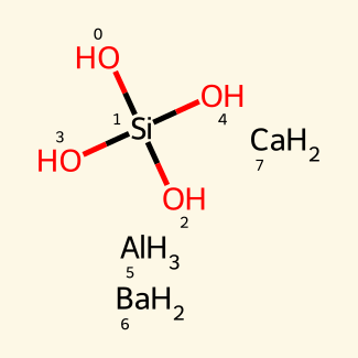 O[Si](O)(O)O.[AlH3].[BaH2].[CaH2]